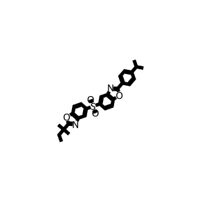 CCC(C)(C)c1nc2cc(S(=O)(=O)c3ccc4oc(-c5ccc(C(C)C)cc5)nc4c3)ccc2o1